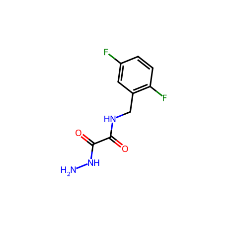 NNC(=O)C(=O)NCc1cc(F)ccc1F